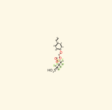 C=Cc1ccc(OCOS(=O)(=O)C(F)(F)C(F)(F)C(F)(F)S(=O)(=O)O)cc1